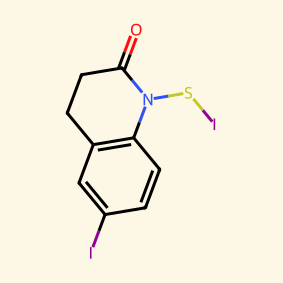 O=C1CCc2cc(I)ccc2N1SI